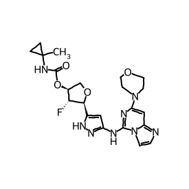 CC1(NC(=O)O[C@H]2CO[C@@H](c3cc(Nc4nc(N5CCOCC5)cc5nccn45)n[nH]3)[C@@H]2F)CC1